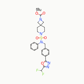 CC(C)(C)OC(=O)N1CC2(CCN(S(=O)(=O)N(Cc3ccc(-c4nnc(C(F)F)o4)cc3)c3ccccc3)CC2)C1